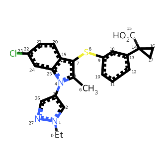 CCn1cc(-n2c(C)c(Sc3cccc(C4(C(=O)O)CC4)c3)c3ccc(Cl)cc32)cn1